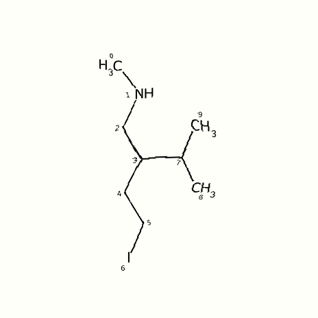 CNCC(CCI)C(C)C